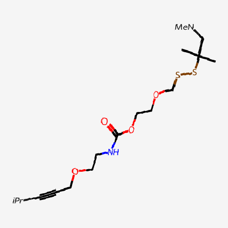 CNCC(C)(C)SSCOCCOC(=O)NCCOCC#CC(C)C